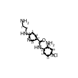 NCCNc1ccc(C(=O)Nc2ccc(Cl)cc2N)cn1